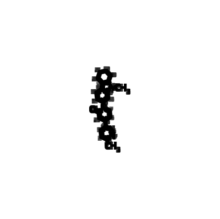 Cc1ccc(-c2ccn(-c3ccc4c5c(n(C)c4c3)CCCC5)c(=O)c2)nn1